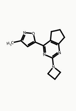 Cc1cc(-c2nc(N3CCC3)nc3c2CCC3)on1